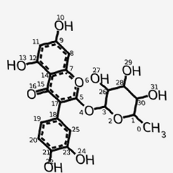 CC1OC(Oc2oc3cc(O)cc(O)c3c(=O)c2-c2ccc(O)c(O)c2)C(O)C(O)C1O